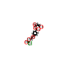 CC1(C)C(=O)OC(c2ccc(OCCOC(=O)Cl)cc2)OC1=O